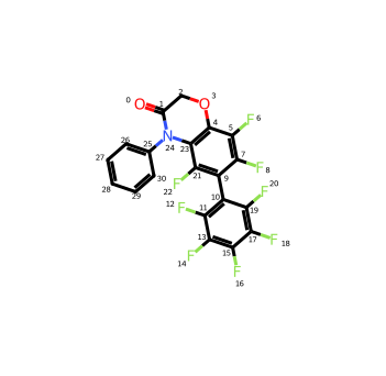 O=C1COc2c(F)c(F)c(-c3c(F)c(F)c(F)c(F)c3F)c(F)c2N1c1ccccc1